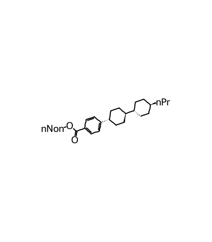 CCCCCCCCCOC(=O)c1ccc([C@H]2CC[C@H]([C@H]3CC[C@H](CCC)CC3)CC2)cc1